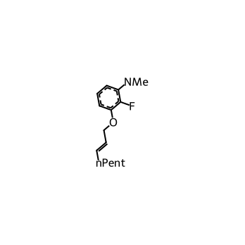 CCCCCC=CCOc1cccc(NC)c1F